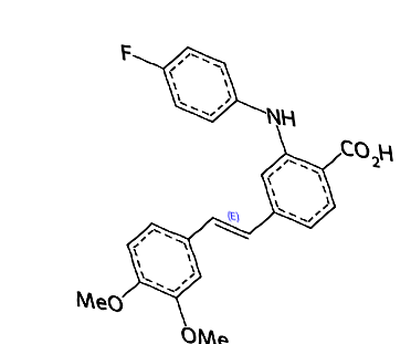 COc1ccc(/C=C/c2ccc(C(=O)O)c(Nc3ccc(F)cc3)c2)cc1OC